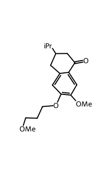 COCCCOc1cc2c(cc1OC)C(=O)CC(C(C)C)C2